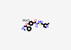 COc1cc(C(=O)Nc2nnc(-c3ccnc(C)c3)s2)ccc1OC(CN(C)C)c1ccccc1